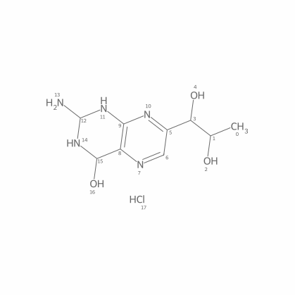 CC(O)C(O)c1cnc2c(n1)NC(N)NC2O.Cl